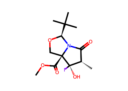 COC(=O)[C@@]12CO[C@@H](C(C)(C)C)N1C(=O)[C@H](C)[C@@]2(O)I